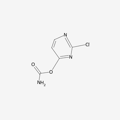 NC(=O)Oc1ccnc(Cl)n1